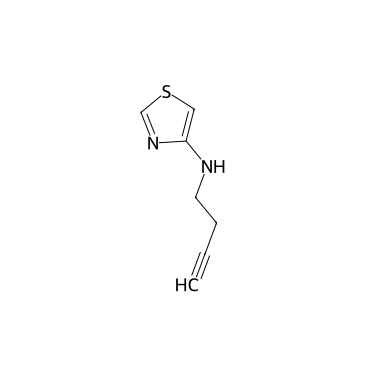 C#CCCNc1cscn1